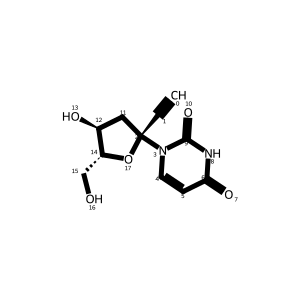 C#C[C@]1(n2ccc(=O)[nH]c2=O)C[C@H](O)[C@@H](CO)O1